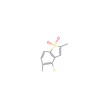 CC1=Cc2c(ccc(C)c2F)S1(=O)=O